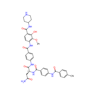 CC(C)Oc1c(NC(=O)c2ccc(NC(=O)[C@H](CC(N)=O)NC(=O)c3ccc(NC(=O)c4ccc(C#N)cc4)cc3)cc2)ccc(C(=O)NC2CCNCC2)c1O